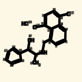 CC(NCc1cccc2c(Cl)ccc(Cl)c12)C(O)c1ccccc1.Cl